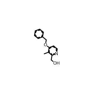 Cc1c(OCc2ccccc2)ccnc1CO